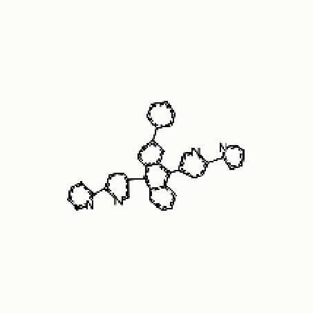 c1ccc(-c2ccc3c(-c4ccc(-c5ccccn5)nc4)c4ccccc4c(-c4ccc(-c5ccccn5)nc4)c3c2)cc1